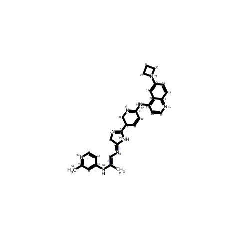 C/C(=C\N=C1/CN=C(C2C=CC(Nc3ccnc4ccc(N5CCC5)cc34)=NC2)N1)Nc1ccnc(C)c1